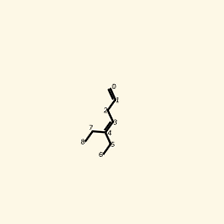 C=CCC=C(CC)CC